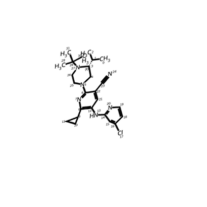 CC(C)[C@@H]1CN(c2nc(C3CC3)c(Nc3cc(Cl)ccn3)cc2C#N)CCN1C(C)(C)C